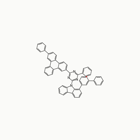 c1ccc(-c2cccc(-c3cccc4c5ccccc5n(-c5nc(-c6ccccc6)nc(-c6ccc7c8ccc(-c9ccccc9)cc8c8ccccc8c7c6)n5)c34)c2)cc1